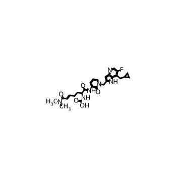 CN(C)C(=O)/C=C/CCC(NC(=O)O)C(=O)Nc1cccn(Cc2cc3ncc(F)c(CC4CC4)c3[nH]2)c1=O